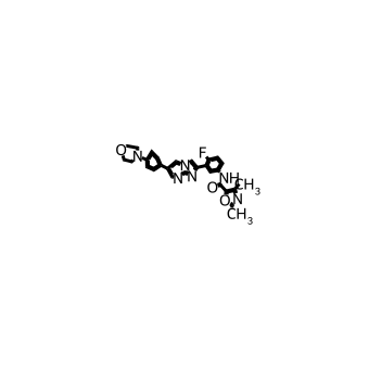 Cc1nc(C)c(C(=O)Nc2ccc(F)c(-c3cn4cc(-c5ccc(N6CCOCC6)cc5)cnc4n3)c2)o1